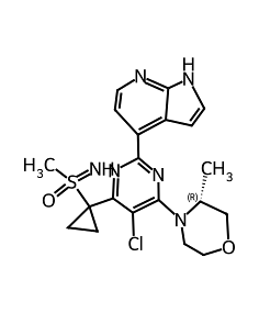 C[C@@H]1COCCN1c1nc(-c2ccnc3[nH]ccc23)nc(C2(S(C)(=N)=O)CC2)c1Cl